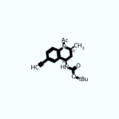 C#Cc1ccc2c(c1)[C@H](NC(=O)OC(C)(C)C)C[C@H](C)N2C(C)=O